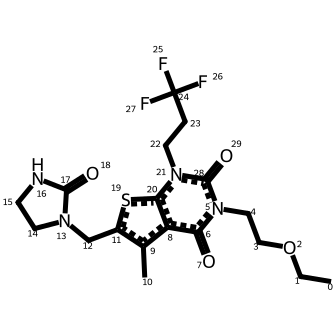 CCOCCn1c(=O)c2c(C)c(CN3CCNC3=O)sc2n(CCC(F)(F)F)c1=O